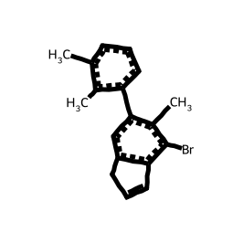 Cc1cccc(-c2cc3c(c(Br)c2C)C=CC3)c1C